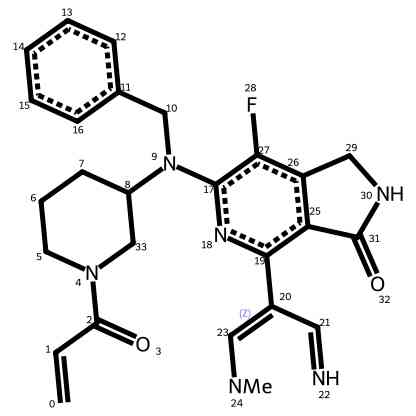 C=CC(=O)N1CCCC(N(Cc2ccccc2)c2nc(/C(C=N)=C/NC)c3c(c2F)CNC3=O)C1